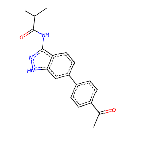 CC(=O)c1ccc(-c2ccc3c(NC(=O)C(C)C)n[nH]c3c2)cc1